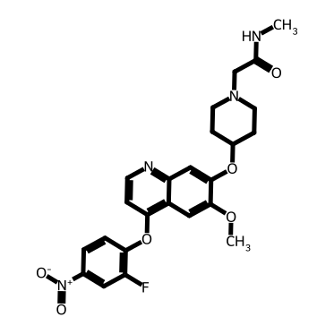 CNC(=O)CN1CCC(Oc2cc3nccc(Oc4ccc([N+](=O)[O-])cc4F)c3cc2OC)CC1